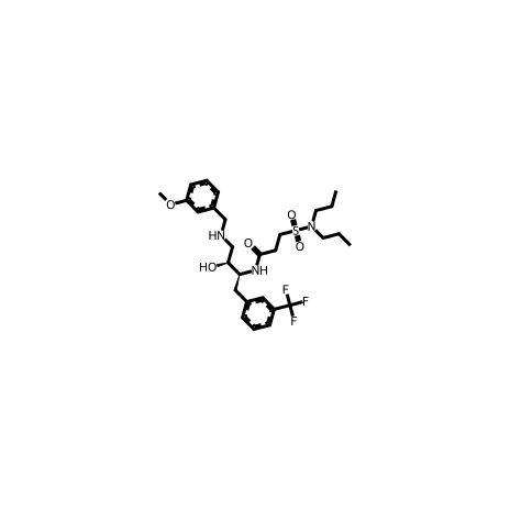 CCCN(CCC)S(=O)(=O)CCC(=O)N[C@@H](Cc1cccc(C(F)(F)F)c1)[C@@H](O)CNCc1cccc(OC)c1